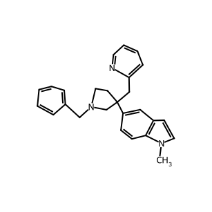 Cn1ccc2cc(C3(Cc4ccccn4)CCN(Cc4ccccc4)C3)ccc21